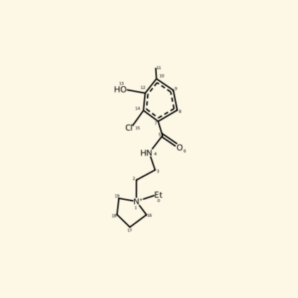 CC[N+]1(CCNC(=O)c2ccc(C)c(O)c2Cl)CCCC1